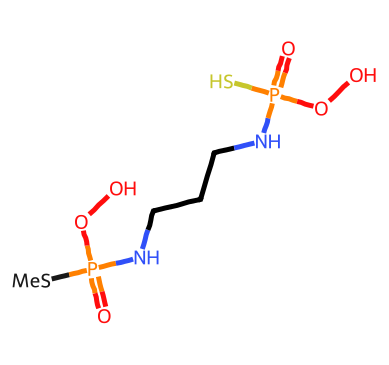 CSP(=O)(NCCCNP(=O)(S)OO)OO